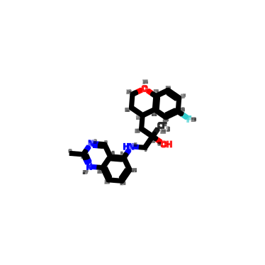 Cc1ncc2c(NCC(O)(CC3CCOc4ccc(F)cc43)C(F)(F)F)cccc2n1